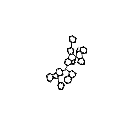 c1ccc(-c2ccc3c(c2)C2(c4ccccc4-c4cccc5cccc2c45)c2cccc4c(N(c5ccc6c7ccccc7n(-c7ccccc7)c6c5)c5cccc6ccccc56)ccc-3c24)cc1